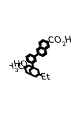 CCC1CC2CC(C)CC(c3cc(-c4ccc5cc(C(=O)O)ccc5c4)ccc3O)(C1)C2